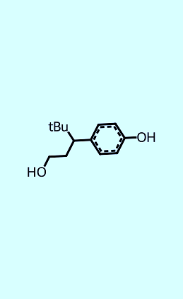 CC(C)(C)C(CCO)c1ccc(O)cc1